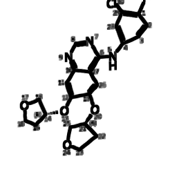 Fc1ccc(Nc2ncnc3cc(O[C@@H]4CCOC4)c(O[C@H]4CCOC4)cc23)cc1Cl